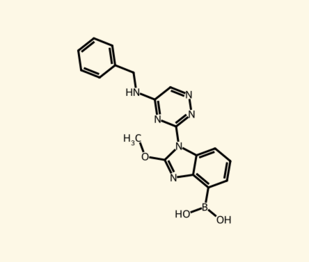 COc1nc2c(B(O)O)cccc2n1-c1nncc(NCc2ccccc2)n1